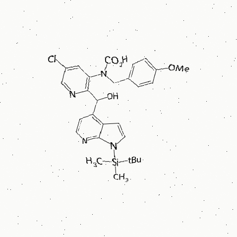 COc1ccc(CN(C(=O)O)c2cc(Cl)cnc2C(O)c2ccnc3c2ccn3[Si](C)(C)C(C)(C)C)cc1